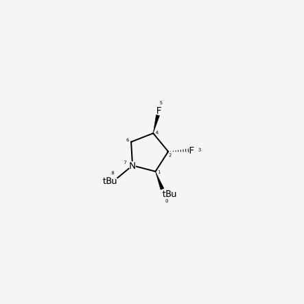 CC(C)(C)[C@@H]1[C@@H](F)[C@H](F)CN1C(C)(C)C